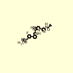 CS(=O)(=O)NCc1cc(F)cc(-c2cccc3[nH]c(-c4n[nH]c5ccc(-c6cncc(NC(=O)C7CC7)c6)nc45)cc23)c1